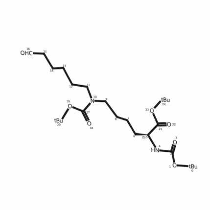 CC(C)(C)OC(=O)N[C@@H](CCCCN(CCCCCC=O)C(=O)OC(C)(C)C)C(=O)OC(C)(C)C